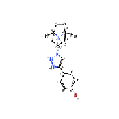 CN1[C@@H]2CC[C@H]1C[C@@H](n1cc(-c3ccc(Br)cc3)nn1)C2